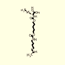 CN/N=C/CCCNC(=O)OCCCCCOC(=O)N[C@H](CSSC)C(O)O